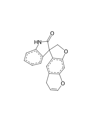 O=C1Nc2ccccc2C12COc1cc3c(cc12)CC=CO3